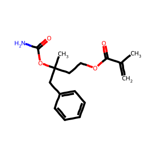 C=C(C)C(=O)OCCC(C)(Cc1ccccc1)OC(N)=O